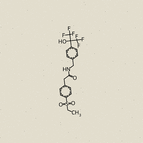 CCS(=O)(=O)c1ccc(CC(=O)NCc2ccc(C(O)(C(F)(F)F)C(F)(F)F)cc2)cc1